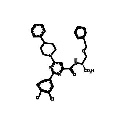 O=C(N[C@H](COCc1ccccc1)C(=O)O)c1cc(N2CCC(c3ccccc3)CC2)nc(-c2ccc(Cl)c(Cl)c2)n1